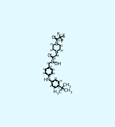 CC(C)(C)c1ccc(Nc2ccc(CN(O)C(=O)CN3CCN(C(=O)C(F)(F)F)CC3)cc2)cc1